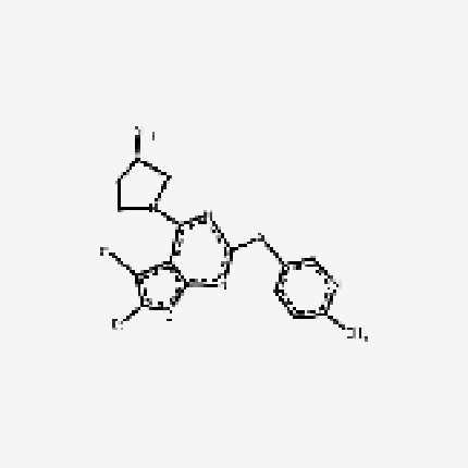 CCc1[nH]c2nc(Sc3ccc(C)nc3)nc(N3CC[C@@H](N)C3)c2c1Cl